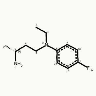 CCN(CC[C@@H](C)N)c1ccc(F)cc1